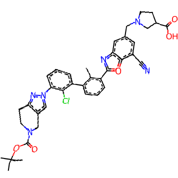 Cc1c(-c2nc3cc(CN4CCC(C(=O)O)C4)cc(C#N)c3o2)cccc1-c1cccc(-n2cc3c(n2)CCN(C(=O)OC(C)(C)C)C3)c1Cl